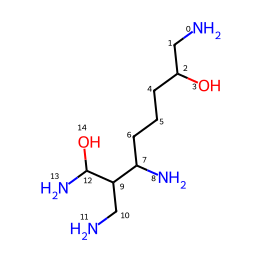 NCC(O)CCCC(N)C(CN)C(N)O